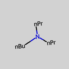 [CH2]CCN(CCC)CCCC